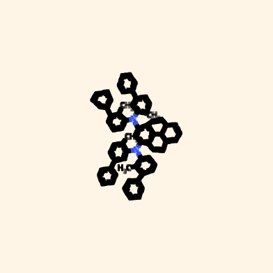 Cc1ccc(-c2ccccc2)cc1N(c1cccc(-c2ccccc2)c1C)c1cc(N(c2cc(-c3ccccc3)ccc2C)c2cccc(-c3ccccc3)c2C)c2c3c1C=CC1=CC=CC(C=C2)C13